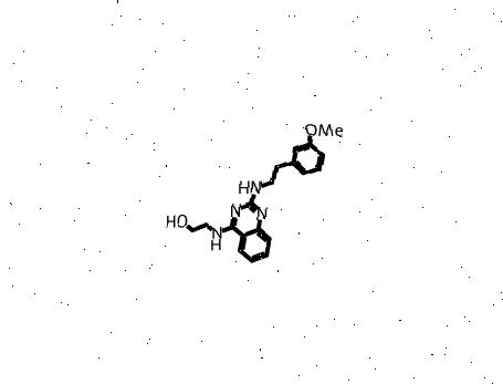 COc1cccc(CCNc2nc(NCCO)c3ccccc3n2)c1